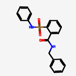 O=C(NCc1ccccc1)c1ccccc1S(=O)(=O)Nc1ccccc1